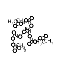 CC1(C)c2ccccc2-c2ccc(-c3ccc4c5ccccc5n(-c5ccc(-c6nc(-c7cccc(-n8c9ccccc9c9ccc(-c%10ccc%11c(c%10)C(C)(C)c%10ccccc%10-%11)cc98)c7)nc7ccc(-c8cccc(-n9c%10ccccc%10c%10ccc(-c%11ccc%12c(c%11)C(C)(C)c%11ccccc%11-%12)cc%109)c8)cc67)cc5)c4c3)cc21